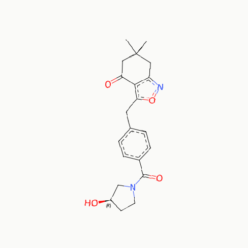 CC1(C)CC(=O)c2c(noc2Cc2ccc(C(=O)N3CC[C@@H](O)C3)cc2)C1